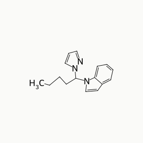 CCCCC(n1cccn1)n1ccc2ccccc21